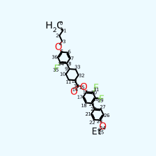 C=CCCOc1ccc(C2CCC(C(=O)Oc3ccc(-c4ccc(OCC)cc4)c(F)c3F)CC2)c(F)c1